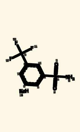 NS(=O)(=O)c1cccc(C(F)(F)F)c1.[NaH]